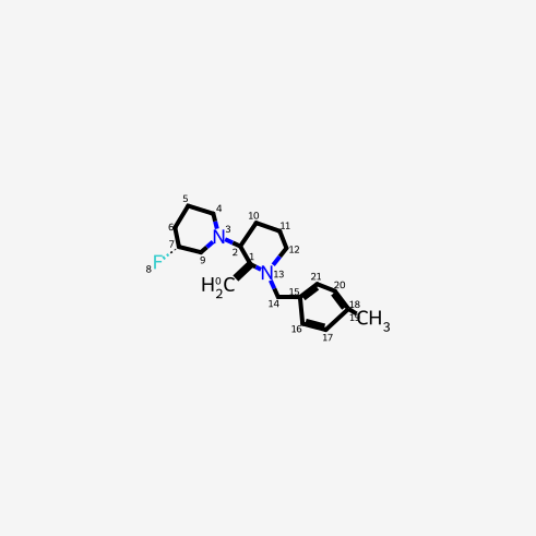 C=C1C(N2CCC[C@@H](F)C2)CCCN1Cc1ccc(C)cc1